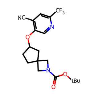 CC(C)(C)OC(=O)N1CC2(CCC(Oc3cnc(C(F)(F)F)cc3C#N)C2)C1